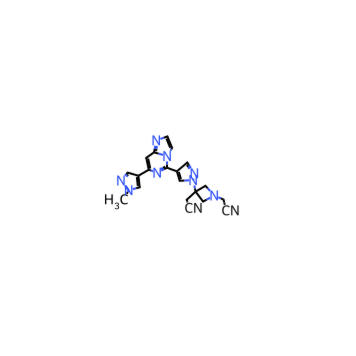 Cn1cc(-c2cc3nccn3c(-c3cnn(C4(CC#N)CN(CC#N)C4)c3)n2)cn1